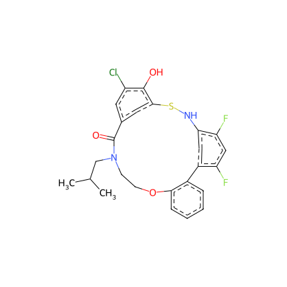 CC(C)CN1CCOc2ccccc2-c2cc(c(F)cc2F)NSc2cc(cc(Cl)c2O)C1=O